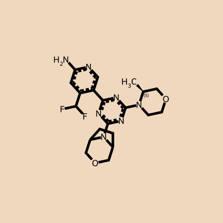 C[C@H]1COCCN1c1nc(-c2cnc(N)cc2C(F)F)nc(N2C3CCC2COC3)n1